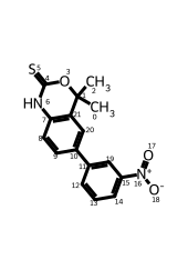 CC1(C)OC(=S)Nc2ccc(-c3cccc([N+](=O)[O-])c3)cc21